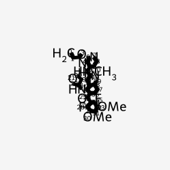 C=CC(=O)Nc1cncc(C)c1Nc1cc2c(NC3CCOC3)c(C(=O)c3c(F)c(OC)cc(OC)c3F)ccc2cn1